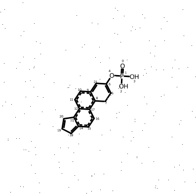 O=P(O)(O)OC1=CCc2c(ccc3c4c(ccc23)=CC=C4)=C1